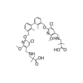 COc1nc(OCc2cccc(-c3cccc(COc4nc(OC)c(CNCC(C)(C)C(=O)O)cc4Cl)c3C)c2C)c(Cl)cc1CNCC(C)(C)C(=O)O